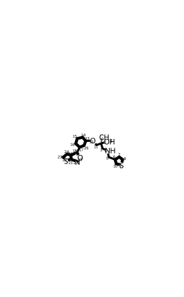 C[C@](O)(CNCc1ccsc1)COc1cccc(-c2onc3sccc23)c1